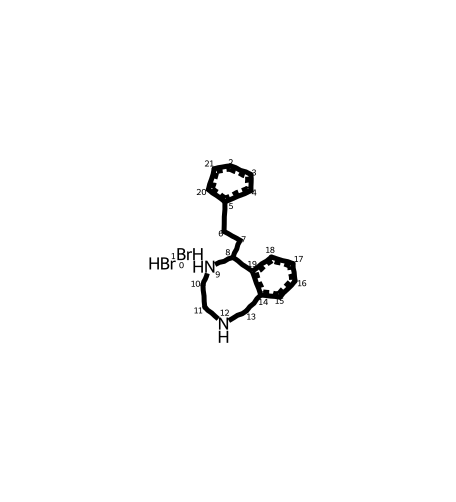 Br.Br.c1ccc(CCC2NCCNCc3ccccc32)cc1